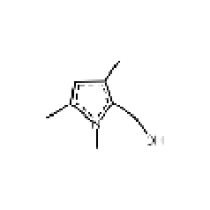 Cc1cc(C)n(C)c1CO